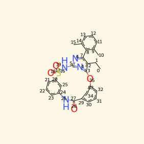 CCc1c2nc(nc1-c1c(C)cccc1C)NS(=O)(=O)c1cccc(c1)NC(=O)c1cccc(c1)O2